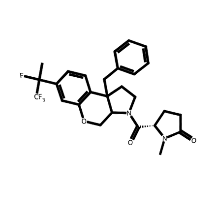 CN1C(=O)CC[C@H]1C(=O)N1CCC2(Cc3ccccc3)c3ccc(C(C)(F)C(F)(F)F)cc3OCC12